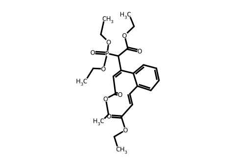 CCOC(=O)C=Cc1ccccc1C(=CC(=O)OCC)C(C(=O)OCC)P(=O)(OCC)OCC